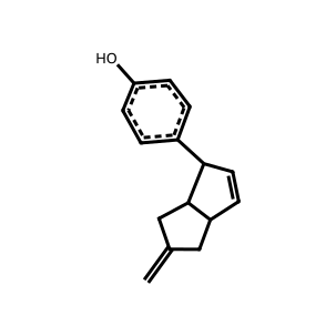 C=C1CC2C=CC(c3ccc(O)cc3)C2C1